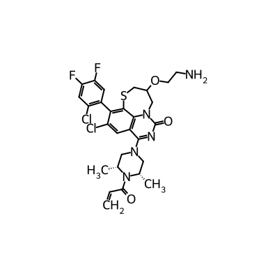 C=CC(=O)N1[C@H](C)CN(c2nc(=O)n3c4c(c(-c5cc(F)c(F)cc5Cl)c(Cl)cc24)SCC(OCCN)C3)C[C@@H]1C